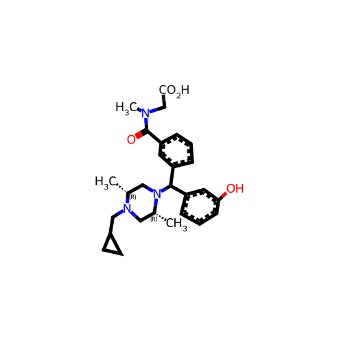 C[C@@H]1CN(C(c2cccc(O)c2)c2cccc(C(=O)N(C)CC(=O)O)c2)[C@H](C)CN1CC1CC1